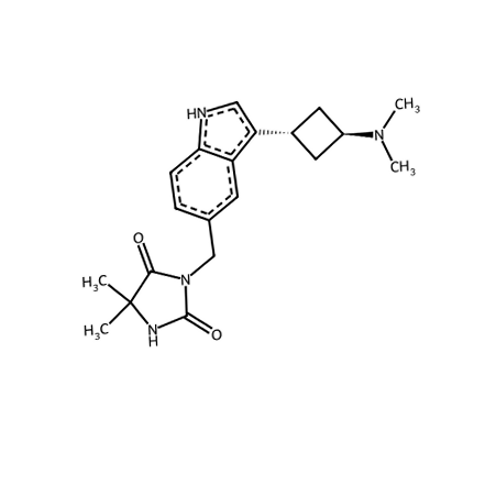 CN(C)[C@H]1C[C@H](c2c[nH]c3ccc(CN4C(=O)NC(C)(C)C4=O)cc32)C1